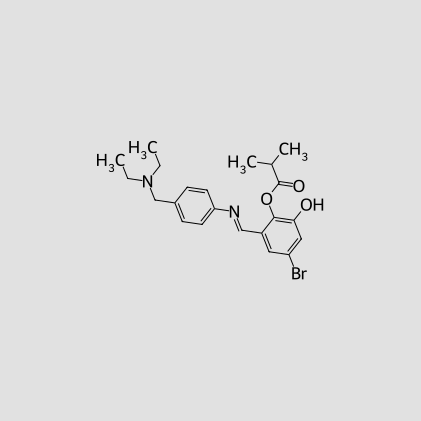 CCN(CC)Cc1ccc(N=Cc2cc(Br)cc(O)c2OC(=O)C(C)C)cc1